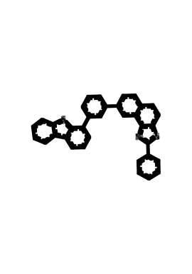 c1ccc(-c2nc3c(ccc4ccc(-c5cccc(-c6cccc7c6sc6ccccc67)c5)cc43)s2)cc1